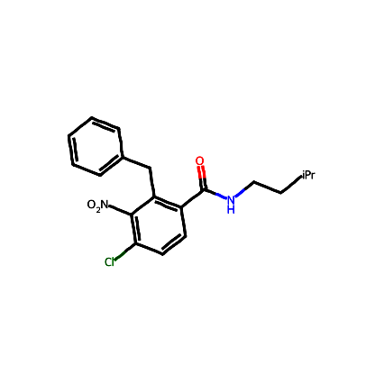 CC(C)CCNC(=O)c1ccc(Cl)c([N+](=O)[O-])c1Cc1ccccc1